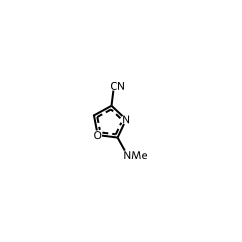 CNc1nc(C#N)co1